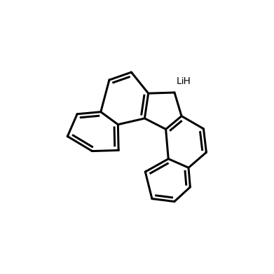 [LiH].c1ccc2c3c(ccc2c1)Cc1ccc2ccccc2c1-3